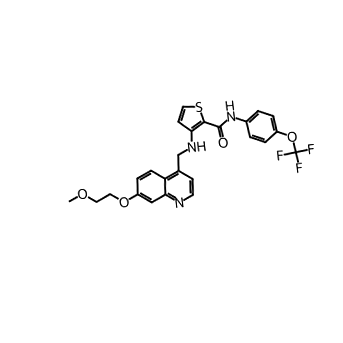 COCCOc1ccc2c(CNc3ccsc3C(=O)Nc3ccc(OC(F)(F)F)cc3)ccnc2c1